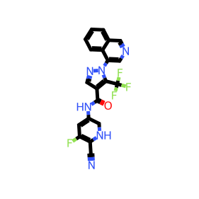 N#CC1=C(F)C=C(NC(=O)c2cnn(-c3cncc4ccccc34)c2C(F)(F)F)CN1